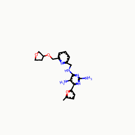 Cc1ccc(-c2nc(N)nc(NCc3cccc(COC4CCOC4)n3)c2N)o1